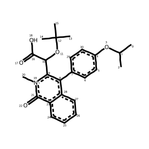 CC(C)Oc1ccc(-c2c(C(OC(C)(C)C)C(=O)O)n(C)c(=O)c3ccccc23)cc1